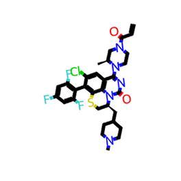 C=CC(=O)N1CCN(c2nc(=O)n3c4c(c(-c5c(F)cc(F)cc5F)c(Cl)cc24)SC[C@@H]3CC2CCN(C)CC2)[C@@H](C)C1